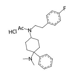 CC(=O)N(CCc1ccc(F)cc1)C1CCC(c2ccccc2)(N(C)C)CC1.Cl